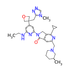 CCNc1cc(C2(Cc3nncn3C)COC2)cc(N2Cc3c(cc(CN4CCC[C@H](C)C4)nc3C3CC3)C2=O)n1